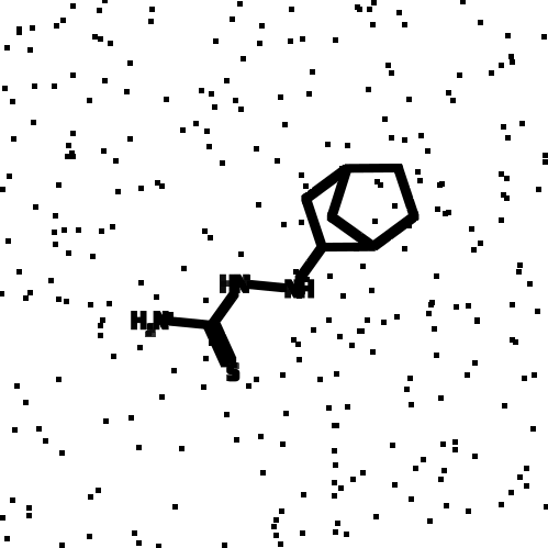 NC(=S)NNC1CC2CCC1C2